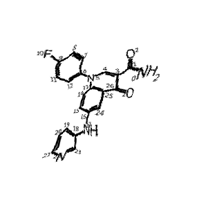 NC(=O)c1cn(-c2ccc(F)cc2)c2ccc(Nc3cccnc3)cc2c1=O